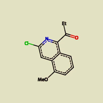 CCC(=O)c1nc(Cl)cc2c(OC)cccc12